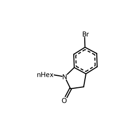 CCCCCCN1C(=O)Cc2ccc(Br)cc21